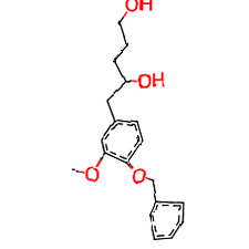 COc1cc(CC(O)CCCO)ccc1OCc1ccccc1